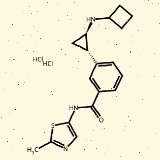 Cc1ncc(NC(=O)c2cccc([C@@H]3C[C@H]3NC3CCC3)c2)s1.Cl.Cl